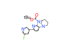 CC(C)(C)OC(=O)N1c2nc(-c3cncc(F)c3)ccc2N2CCCC1C2